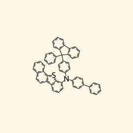 c1ccc(-c2ccc(N(c3ccc(C4(c5ccccc5)c5ccccc5-c5ccccc54)cc3)c3cccc4c3sc3c5ccccc5ccc43)cc2)cc1